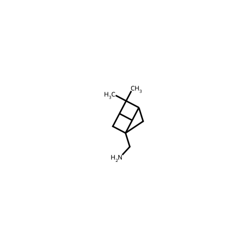 CC1(C)C2CC3(CN)CC1C23